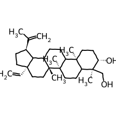 C=C[C@]12CC[C@@H](C(=C)C)C1C1CCC3[C@@]4(C)CC[C@H](O)[C@@](C)(CO)C4CC[C@@]3(C)[C@]1(C)CC2